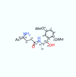 COc1ccc(OC)c([C@@H](O)[C@H](C)NC(=O)CC[C@H](N)C(C)=O)c1